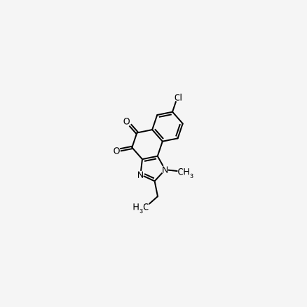 CCc1nc2c(n1C)-c1ccc(Cl)cc1C(=O)C2=O